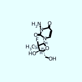 C[C@@]1(F)[C@H](O)[C@@H](CO)O[C@H]1n1ccc(=O)n(N)c1=O